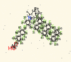 CCCCCCN(CC(C)CCC(CC)CCC)c1c(F)c(C)c(F)c(F)c1F.Fc1c(F)c(F)c(-c2c(F)c(F)c(F)c(F)c2F)c(F)c1F.Fc1c(F)c(F)c(-c2c(F)c(F)c(F)c(F)c2F)c(F)c1F.Fc1c(F)c(F)c(-c2c(F)c(F)c(F)c(F)c2F)c(F)c1F.Fc1c(F)c(F)c(-c2c(F)c(F)c(F)c(F)c2F)c(F)c1F.[O]=[Al][OH]